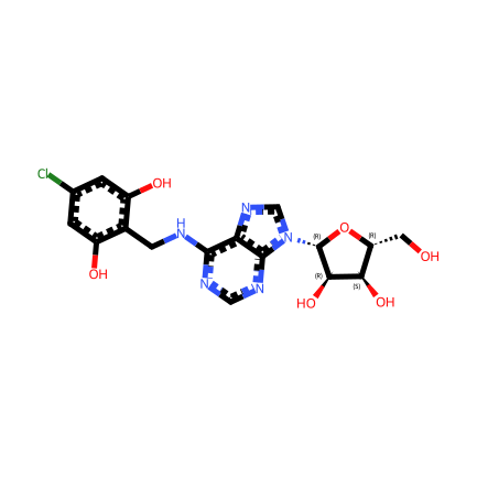 OC[C@H]1O[C@@H](n2cnc3c(NCc4c(O)cc(Cl)cc4O)ncnc32)[C@H](O)[C@@H]1O